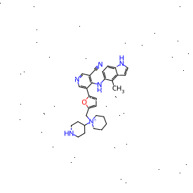 Cc1c(Nc2c(C#N)cncc2-c2ccc(C[N+]3(C4CCNCC4)CCCCC3)o2)ccc2[nH]ccc12